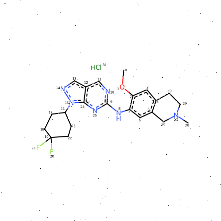 COc1cc2c(cc1Nc1ncc3cnn(C4CCC(F)(F)CC4)c3n1)CN(C)CC2.Cl